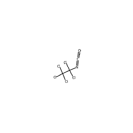 O=C=NC(Cl)(Cl)C(Cl)(Cl)Cl